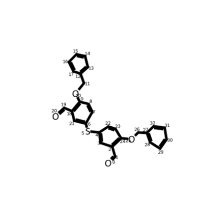 O=Cc1cc(Sc2ccc(OCc3ccccc3)c(C=O)c2)ccc1OCc1ccccc1